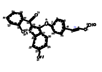 O=CO/C=C/c1ccc(Oc2c(C(=O)c3ccccc3C(F)(F)F)sc3cc(O)ccc23)cc1